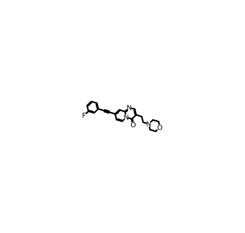 O=c1c(CCN2CCOCC2)cnc2cc(C#Cc3cccc(F)c3)ccn12